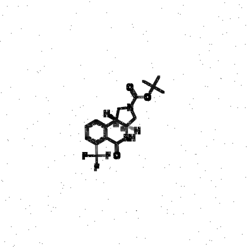 CC(C)(C)OC(=O)N1C[C@H]2NC(=O)c3c(cccc3C(F)(F)F)[C@@H]2C1